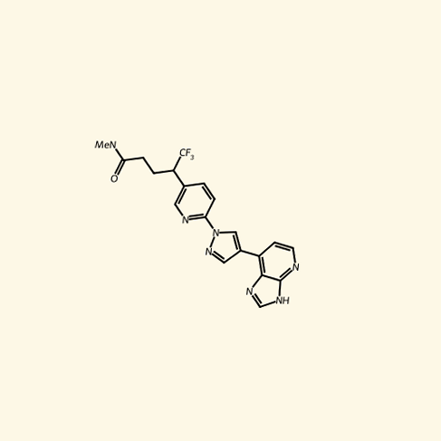 CNC(=O)CCC(c1ccc(-n2cc(-c3ccnc4[nH]cnc34)cn2)nc1)C(F)(F)F